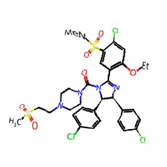 CCOc1cc(Cl)c(S(=O)(=O)NC)cc1C1=N[C@@H](c2ccc(Cl)cc2)[C@@H](c2ccc(Cl)cc2)N1C(=O)N1CCN(CCS(C)(=O)=O)CC1